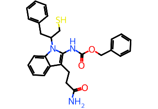 NC(=O)CCc1c(NC(=O)OCc2ccccc2)n(C(CS)Cc2ccccc2)c2ccccc12